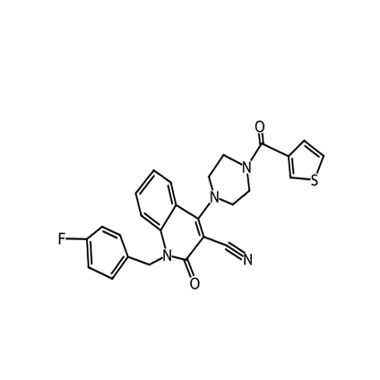 N#Cc1c(N2CCN(C(=O)c3ccsc3)CC2)c2ccccc2n(Cc2ccc(F)cc2)c1=O